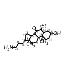 CCC1C(=O)C2C(CCC3(C)C2CC[C@@H]3CCCN)C2(C)CC[C@@H](O)CC12